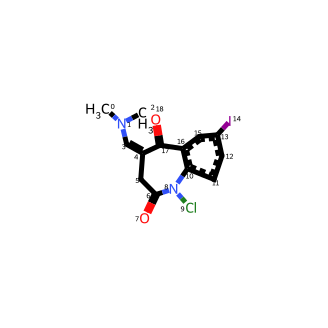 CN(C)C=C1CC(=O)N(Cl)c2ccc(I)cc2C1=O